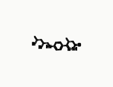 CC(Br)CC(Br)CNc1ccc(C2=NNC(=O)CC2C)cc1